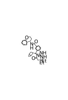 CCC1(CC)CC(=O)N(C(c2cccc(C(=O)N[C@H]3CCOc4ccccc43)c2)[C@@H]2CC3CC32)C(=N)N1